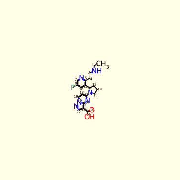 CCNCCc1ncc(F)cc1C1CCCN1c1ccn2ncc(C(=O)O)c2n1